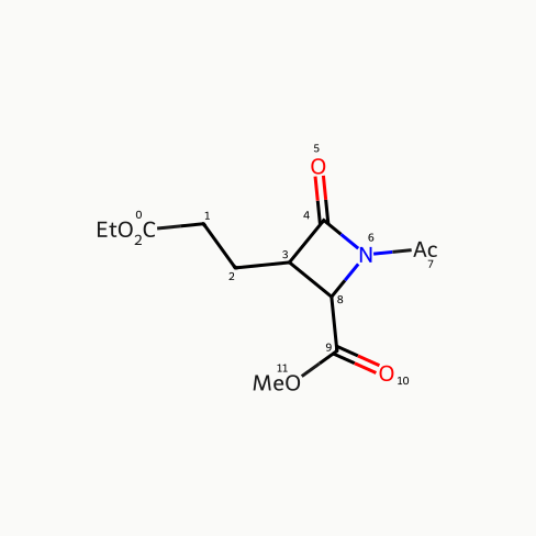 CCOC(=O)CCC1C(=O)N(C(C)=O)C1C(=O)OC